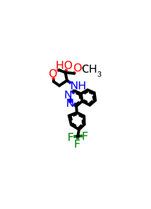 COCC1(O)COCCC1Nc1nnc(-c2ccc(C(F)(F)F)cc2)c2ccccc12